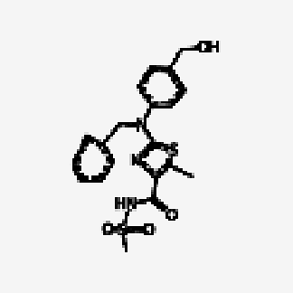 Cc1sc(N(Cc2ccccc2)c2ccc(CO)cc2)nc1C(=O)NS(C)(=O)=O